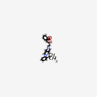 CC(C)c1ccccc1N1CC2CN(CC[C@H]3CC4(CCCCC4)C(=O)O3)CC2C1